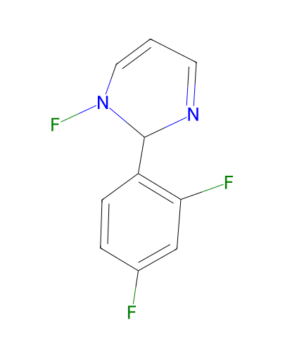 Fc1ccc(C2N=CC=CN2F)c(F)c1